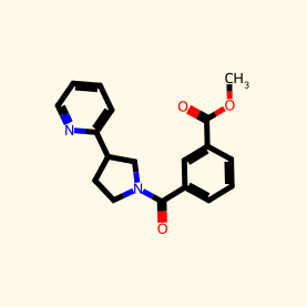 COC(=O)c1cccc(C(=O)N2CCC(c3ccccn3)C2)c1